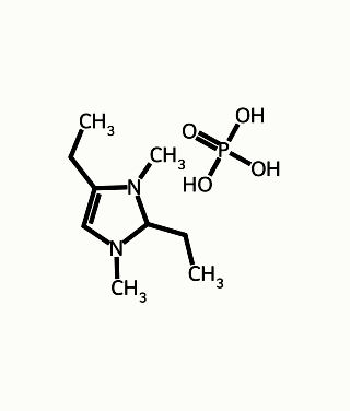 CCC1=CN(C)C(CC)N1C.O=P(O)(O)O